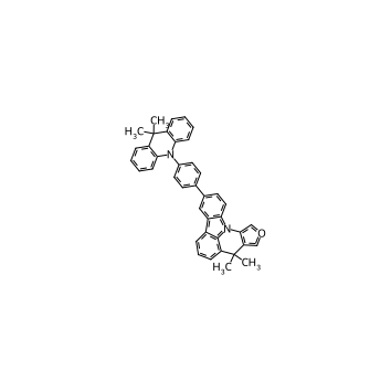 CC1(C)c2ccccc2N(c2ccc(-c3ccc4c(c3)c3cccc5c3n4-c3cocc3C5(C)C)cc2)c2ccccc21